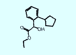 CCOC(=O)C(O)c1ccccc1C1CCCC1